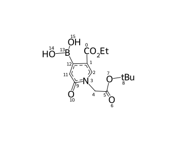 CCOC(=O)c1cn(CC(=O)OC(C)(C)C)c(=O)cc1B(O)O